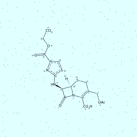 CC(=O)OCC1=C(C(=O)O)N2C(=O)[C@@H](Nc3nc(C(=O)OCC(Cl)(Cl)Cl)cs3)[C@H]2SC1